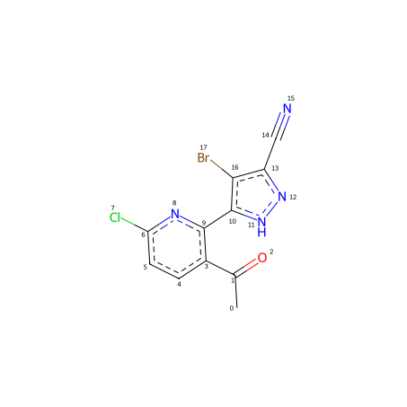 CC(=O)c1ccc(Cl)nc1-c1[nH]nc(C#N)c1Br